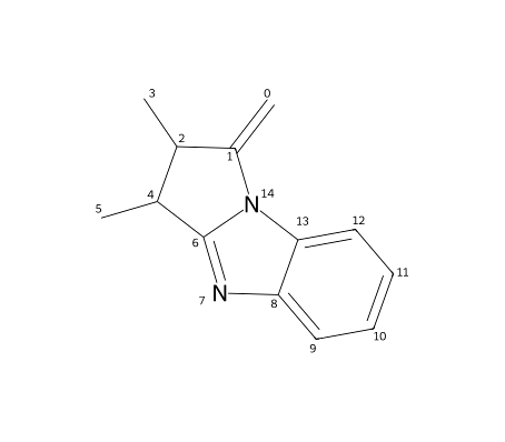 C=C1C(C)C(C)c2nc3ccccc3n21